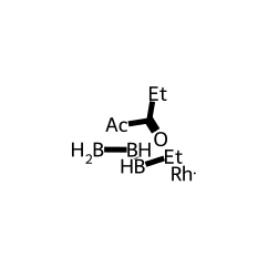 BBBCC.CCC(=O)C(C)=O.[Rh]